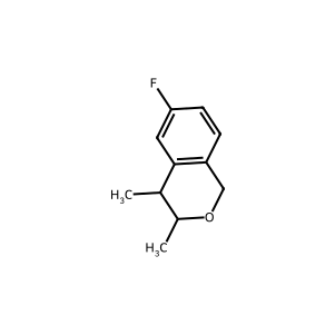 CC1OCc2ccc(F)cc2C1C